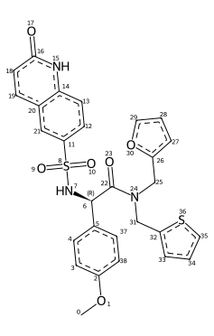 COc1ccc([C@@H](NS(=O)(=O)c2ccc3[nH]c(=O)ccc3c2)C(=O)N(Cc2ccco2)Cc2cccs2)cc1